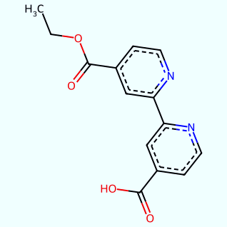 CCOC(=O)c1ccnc(-c2cc(C(=O)O)ccn2)c1